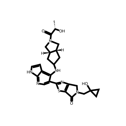 C[C@H](O)C(=O)N1C[C@H]2CC(Nc3c(-c4nc5c(s4)C(=O)N(CC4(O)CC4)C5)cnc4[nH]ccc34)C[C@H]2C1